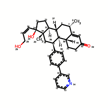 C[C@H]1C[C@@H]2[C@H]([C@@H](c3ccc(-c4cccnc4)cc3)C[C@@]3(C)[C@H]2CC[C@@]3(O)/C=C\CO)[C@H]2CCC(=O)C=C12